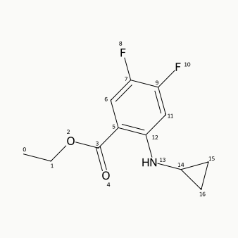 CCOC(=O)c1cc(F)c(F)cc1NC1CC1